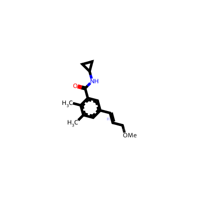 COC/C=C/c1cc(C)c(C)c(C(=O)NC2CC2)c1